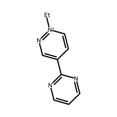 CC[n+]1ccc(-c2ncccn2)cn1